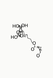 COC[C@@H]1C[C@H]1C(=O)OCCCC[C@H](CON(O)O)ON(O)O